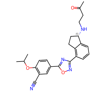 CC(=O)CCN[C@H]1CCc2c(-c3noc(-c4ccc(OC(C)C)c(C#N)c4)n3)cccc21